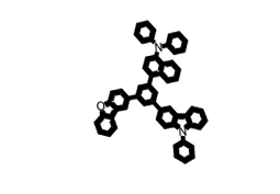 c1ccc(N(c2ccccc2)c2ccc(-c3cc(-c4ccc5oc6ccccc6c5c4)cc(-c4ccc5c(c4)c4ccccc4n5-c4ccccc4)c3)c3ccccc23)cc1